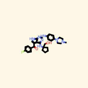 CN1CCN(c2ccc(Nc3nc(NC4(CO)CCCC4)c4c(C(=O)c5ccc(F)cc5)c[nH]c4n3)cc2)CC1